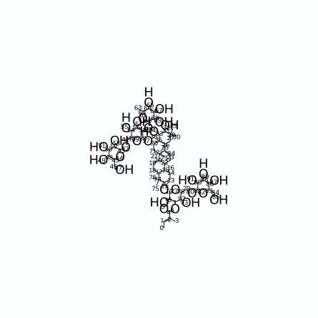 C/C=C(\C)C(=O)OC1C(O)[C@H](O[C@H]2CC[C@@]3(C)C(CC[C@]4(C)C3CC=C3C5CC(C)(C)[C@@H](O)[C@H](O)[C@]5(CO[C@@H]5OC(CO[C@@H]6OC(CO)[C@@H](O)C(O)C6O)[C@@H](O)C(O)C5O[C@@H]5OC(C)[C@H](O)C(O)C5O)CC[C@]34C)C2(C)C)OC(CO[C@@H]2OC(CO)[C@@H](O)C(O)C2O)[C@H]1O